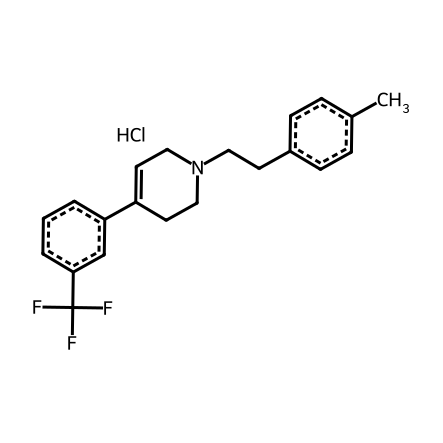 Cc1ccc(CCN2CC=C(c3cccc(C(F)(F)F)c3)CC2)cc1.Cl